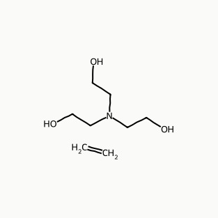 C=C.OCCN(CCO)CCO